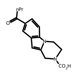 CCCC(=O)c1ccc2c(c1)cc1n2CCN(C(=O)O)C1